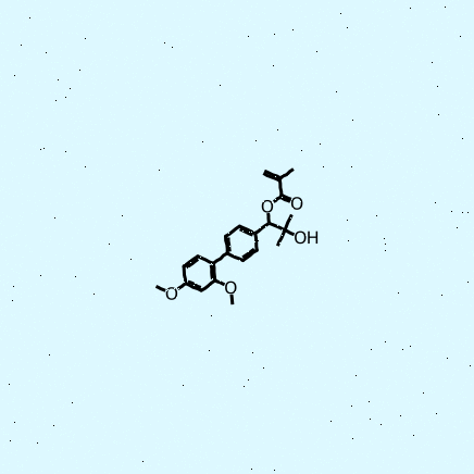 C=C(C)C(=O)OC(c1ccc(-c2ccc(OC)cc2OC)cc1)C(C)(C)O